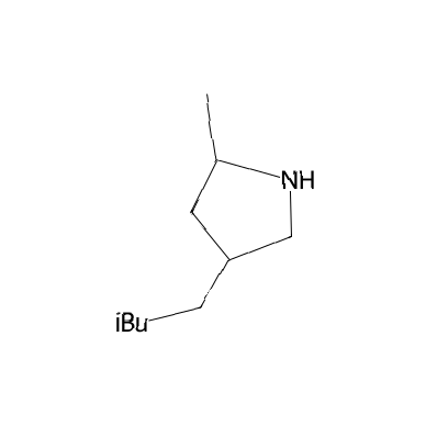 CCC(C)CC1CNC(C)C1